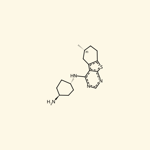 C[C@@H]1CCc2sc3ncnc(N[C@H]4CC[C@H](N)CC4)c3c2C1